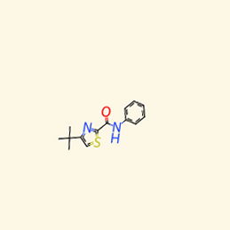 CC(C)(C)c1csc(C(=O)Nc2ccccc2)n1